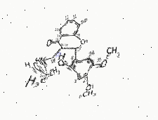 COc1cc(O)c(C2Oc3ccccc3C(=O)/C2=C\NC(C)(C)C)cc1OC